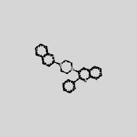 c1ccc(-c2nc3ccccc3cc2N2CCN(c3ccc4ccccc4n3)CC2)cc1